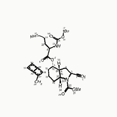 C#CC1C[C@H]2[C@@H](OC(=O)C(CCSC)NC(=O)OC(C)(C)C)CCC[C@H]2N1C(=O)OC.Cc1cc2ccc1-2